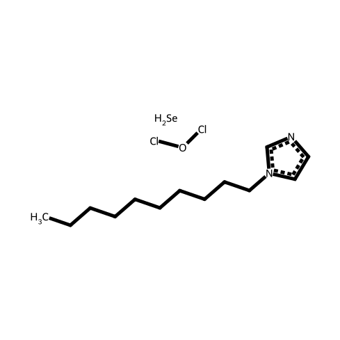 CCCCCCCCCCn1ccnc1.ClOCl.[SeH2]